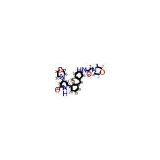 O=C(CN1CCOCC1)Nc1ccc2c(c1)Cc1cccc(-c3cc(N4CCOCC4)cc(=O)[nH]3)c1S2